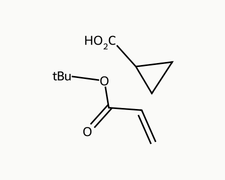 C=CC(=O)OC(C)(C)C.O=C(O)C1CC1